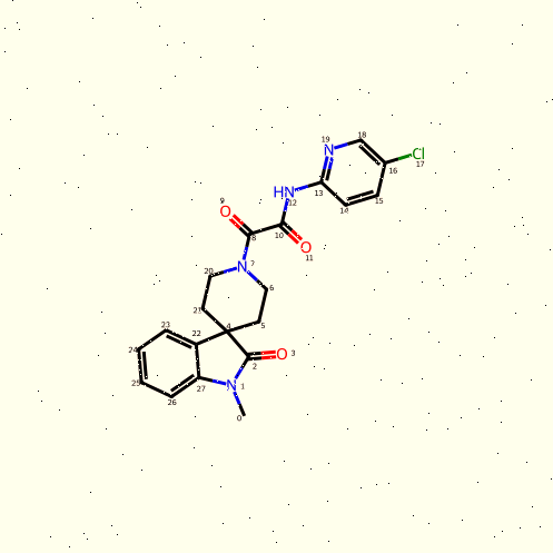 CN1C(=O)C2(CCN(C(=O)C(=O)Nc3ccc(Cl)cn3)CC2)c2ccccc21